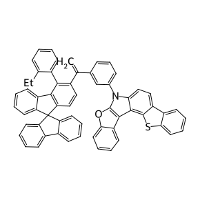 C=C(c1cccc(-n2c3ccc4c5ccccc5sc4c3c3c4ccccc4oc32)c1)c1ccc2c(c1-c1ccccc1CC)-c1ccccc1C21c2ccccc2-c2ccccc21